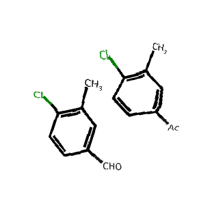 CC(=O)c1ccc(Cl)c(C)c1.Cc1cc(C=O)ccc1Cl